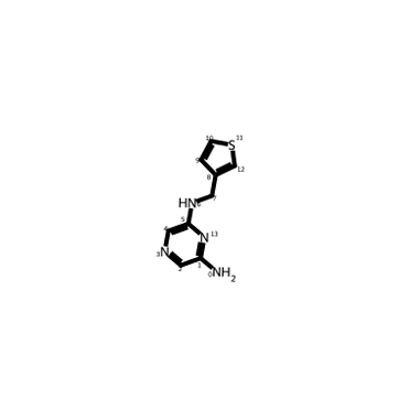 Nc1cncc(NCc2ccsc2)n1